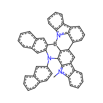 Cn1c2ccccc2c2cc3c4c(c21)N(c1ccc2ccccc2c1)c1cc2ccccc2cc1B4n1c2ccccc2c2cccc-3c21